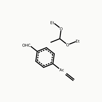 C=C.CC(=O)c1ccc(C=O)cc1.CCOC(C)OCC